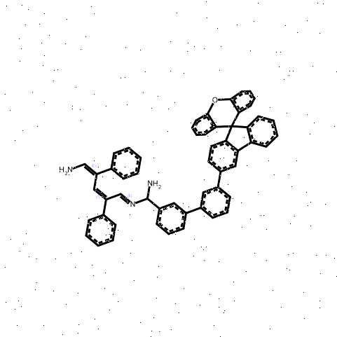 N\C=C(/C=C(\C=N\C(N)c1cccc(-c2cccc(-c3ccc4c(c3)-c3ccccc3C43c4ccccc4Oc4ccccc43)c2)c1)c1ccccc1)c1ccccc1